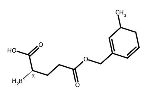 B[C@@H](CCC(=O)OCC1=CC(C)CC=C1)C(=O)O